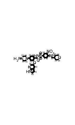 O=C(NS(=O)(=O)c1ccc(NCC2CCOCC2)c([N+](=O)[O-])c1)c1ccc(N2CCN(P)CC2)cc1Oc1cnc2[nH]ccc2c1